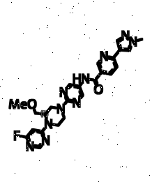 COC[C@H]1CN(c2ncc(NC(=O)c3ccc(-c4cnn(C)c4)nc3)cn2)CCN1c1cc(F)ncn1